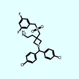 NCCC1(CS(=O)(=O)Cc2cc(F)cc(F)c2)CN(C(c2ccc(Cl)cc2)c2ccc(Cl)cc2)C1